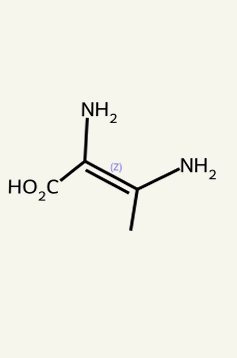 C/C(N)=C(/N)C(=O)O